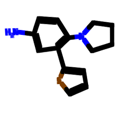 Nc1ccc(N2CCCC2)c(-c2cccs2)c1